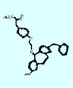 CCCCc1ccc2c(c1)C=Cc1cc(Cc3ccccc3)ccc1C2OCCOc1ccc(CC(OCC)C(=O)O)cc1